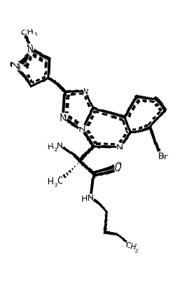 CCCNC(=O)[C@@](C)(N)c1nc2c(Br)cccc2c2nc(-c3cnn(C)c3)nn12